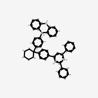 c1ccc(-c2cc(-c3ccc(C4(c5ccc(N6c7ccccc7Oc7ccccc76)cc5)CCCCC4)cc3)nc(-c3ccccc3)n2)cc1